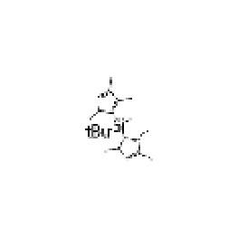 CC1=CC(C)C([Si](C)(C2=C(C)C(C)=CC2C)C(C)(C)C)=C1C